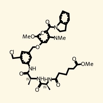 CNc1cc(OCc2cc(CCl)cc(NC(=O)[C@H](C)NC(=O)[C@H](C)NC(=O)CCCCC(=O)OC)c2)c(OC)cc1C(=O)N1CCc2ccccc21